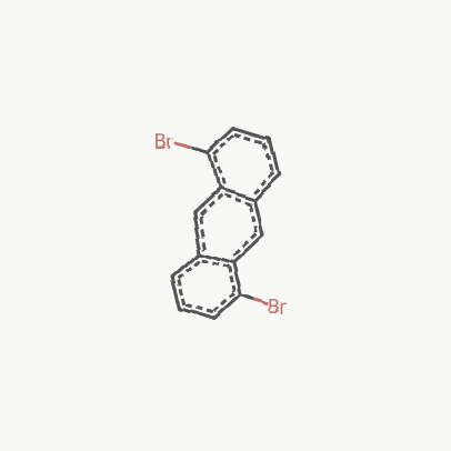 Brc1cccc2cc3c(Br)cccc3cc12